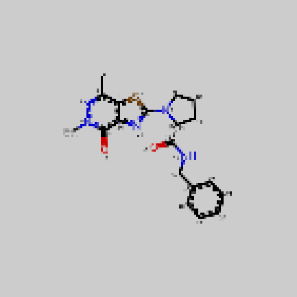 CCn1nc(C)c2sc(N3CCC[C@@H]3C(=O)NCc3ccccc3)nc2c1=O